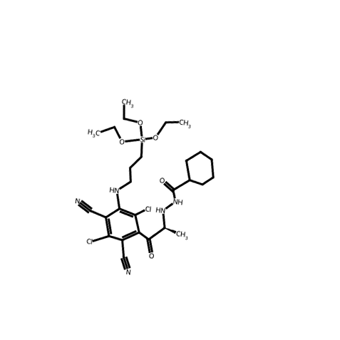 CCO[Si](CCCNc1c(Cl)c(C(=O)[C@H](C)NNC(=O)C2CCCCC2)c(C#N)c(Cl)c1C#N)(OCC)OCC